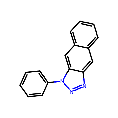 c1ccc(-n2nnc3cc4ccccc4cc32)cc1